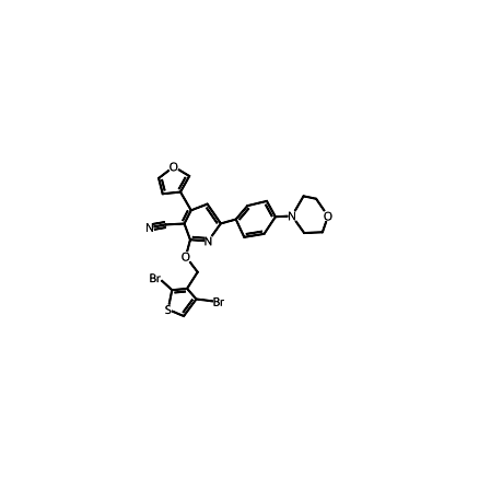 N#Cc1c(-c2ccoc2)cc(-c2ccc(N3CCOCC3)cc2)nc1OCc1c(Br)csc1Br